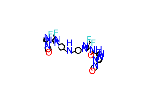 O=C(Nc1cn(C2CCC(CNCC3CCC(n4cc(-n5nccc5N5CCOCC5)c(C(F)F)n4)CC3)CC2)nc1C(F)F)c1cnn2ccc(N3CCOCC3)nc12